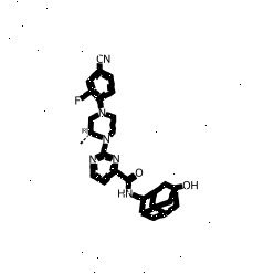 C[C@@H]1CN(c2ccc(C#N)cc2F)CCN1c1nccc(C(=O)NC2C3CC4CC2CC(O)(C4)C3)n1